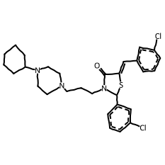 O=C1/C(=C/c2cccc(Cl)c2)SC(c2cccc(Cl)c2)N1CCCN1CCN(C2CCCCC2)CC1